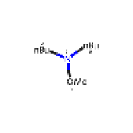 CCCCN(CCCC)OC